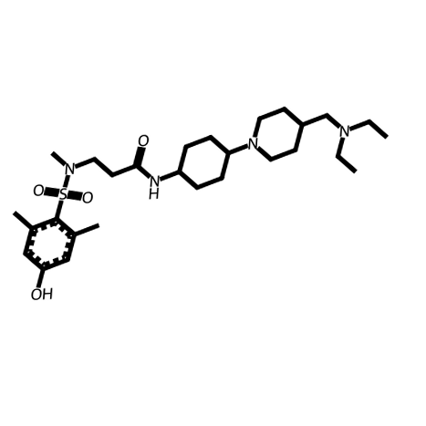 CCN(CC)CC1CCN(C2CCC(NC(=O)CCN(C)S(=O)(=O)c3c(C)cc(O)cc3C)CC2)CC1